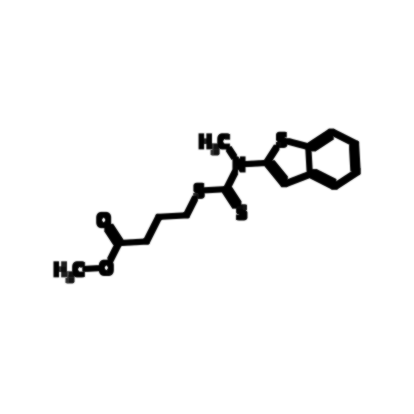 COC(=O)CCCSC(=S)N(C)c1cc2ccccc2s1